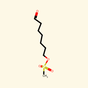 CS(=O)(=O)OCCCCCCC=O